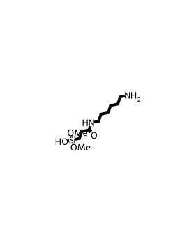 CO[Si](O)(CCC(=O)NCCCCCCN)OC